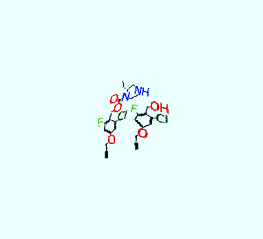 C#CCOc1cc(F)c(CO)c(Cl)c1.C#CCOc1cc(F)c(COC(=O)N2CCNC[C@H]2CC)c(Cl)c1